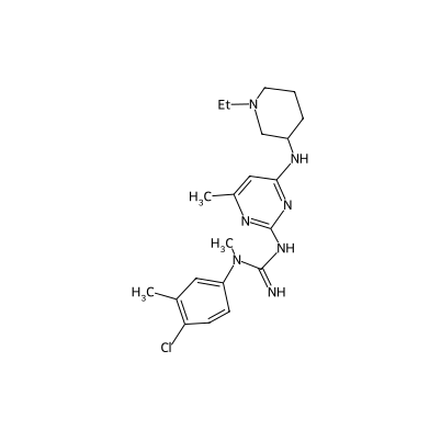 CCN1CCCC(Nc2cc(C)nc(NC(=N)N(C)c3ccc(Cl)c(C)c3)n2)C1